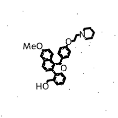 COc1ccc2c(C(=O)c3ccc(OCCN4CCCCC4)cc3)c(-c3ccccc3CO)ccc2c1